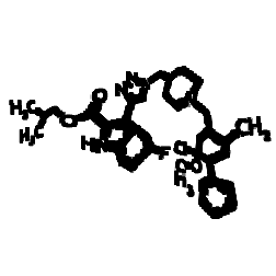 COC1(Cl)CC(CN2CCC(Cn3cc(-c4c(C(=O)OCC(C)C)[nH]c5ccc(F)cc45)nn3)CC2)=C(C)C=C1c1ccccc1